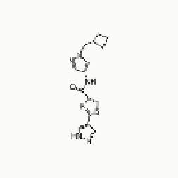 O=C(Nc1cnn(CC2CCC2)c1)c1csc(-c2cn[nH]c2)n1